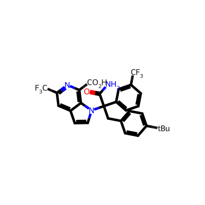 CC(C)(C)c1ccc(CC(C(N)=O)(c2cccc(C(F)(F)F)c2)n2ccc3cc(C(F)(F)F)nc(C(=O)O)c32)cc1